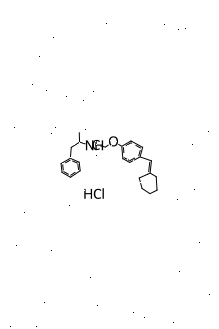 CC(Cc1ccccc1)NCCOc1ccc(C=C2CCCCC2)cc1.Cl